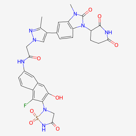 Cc1nn(CC(=O)Nc2ccc3c(F)c(N4CC(=O)NS4(=O)=O)c(O)cc3c2)cc1-c1ccc2c(c1)n(C)c(=O)n2C1CCC(=O)NC1=O